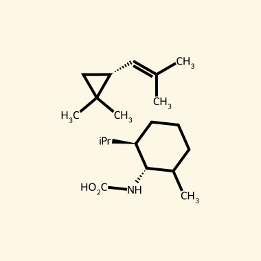 CC(C)=C[C@H]1CC1(C)C.CC(C)[C@H]1CCCC(C)[C@@H]1NC(=O)O